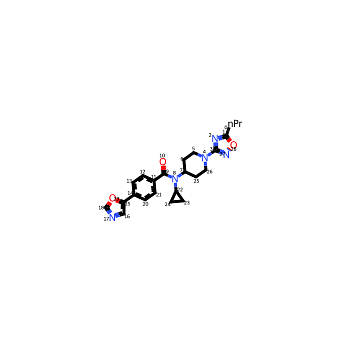 CCCc1nc(N2CCC(N(C(=O)c3ccc(-c4cnco4)cc3)C3CC3)CC2)no1